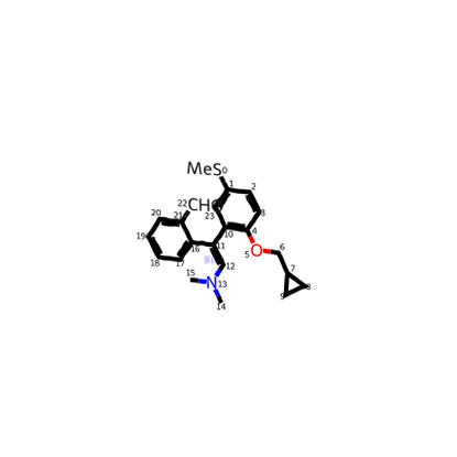 CSc1ccc(OCC2CC2)c(/C(=C/N(C)C)c2ccccc2C=O)c1